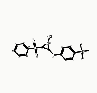 C[N+](C)(C)c1ccc(OC2C(S(=O)(=O)c3ccccc3)N2Cl)cc1